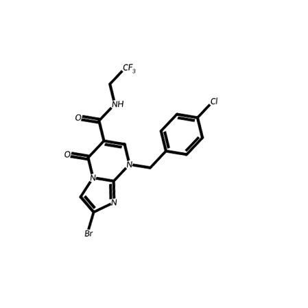 O=C(NCC(F)(F)F)c1cn(Cc2ccc(Cl)cc2)c2nc(Br)cn2c1=O